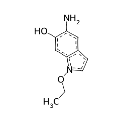 CCOn1ccc2cc(N)c(O)cc21